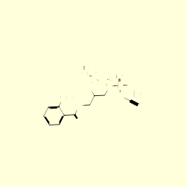 C#COP(=O)(OCC)OCC(COC(=O)c1ccccc1O)OP(=O)(OCC)OCC